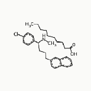 CCCCCCCCCC(=O)O.CNC(CCCc1ccc2ccccc2c1)c1ccc(Cl)cc1